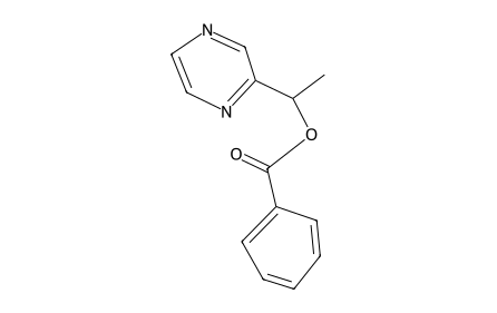 CC(OC(=O)c1ccccc1)c1cnccn1